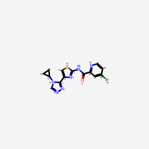 O=C(Nc1nc(-c2nncn2C2CC2)cs1)c1cc(Br)ccn1